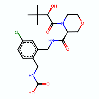 CC(C)(C)[C@@H](O)C(=O)N1CCOC[C@H]1C(=O)NCc1cc(Cl)ccc1CNC(=O)O